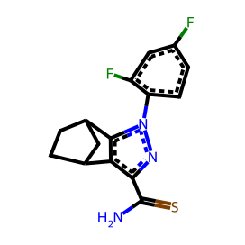 NC(=S)c1nn(-c2ccc(F)cc2F)c2c1C1CCC2C1